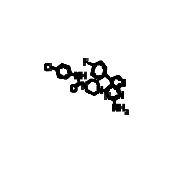 Nc1nc(N2CCN(C(=O)Nc3ccc(Cl)cc3)CC2)c2c(-c3ccc(F)cc3)csc2n1